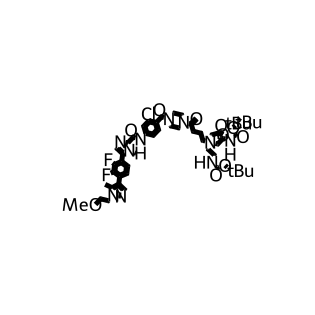 COCCn1ncc(-c2ccc(-c3cnc(C(=O)Nc4ccc(C(=O)N5CCN(C(=O)CCC[N+](CCNC(=O)OC(C)(C)C)(CCNC(=O)OC(C)(C)C)CC(=O)OC(C)(C)C)CC5)c(Cl)c4)n3C)c(F)c2F)c1C